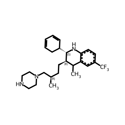 CC1c2cc(C(F)(F)F)ccc2N[C@@H](C2C=CC=CC2)[C@@H]1CC[C@@H](C)CN1CCNCC1